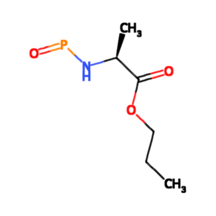 CCCOC(=O)[C@H](C)NP=O